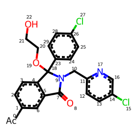 CC(=O)c1ccc2c(c1)C(=O)N(Cc1ccc(Cl)cn1)C2(OCCO)c1ccc(Cl)cc1